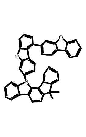 CC1(C)c2ccccc2-c2c1ccc1c3ccccc3n(-c3ccc4c(c3)oc3cccc(-c5ccc6c(c5)oc5ccccc56)c34)c21